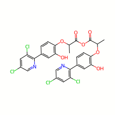 CC(Oc1ccc(-c2ncc(Cl)cc2Cl)cc1O)C(=O)OC(=O)C(C)Oc1ccc(-c2ncc(Cl)cc2Cl)cc1O